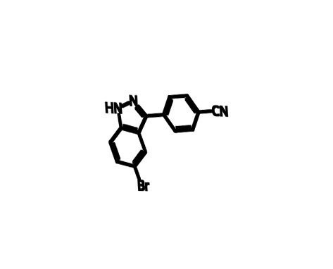 N#Cc1ccc(-c2n[nH]c3ccc(Br)cc23)cc1